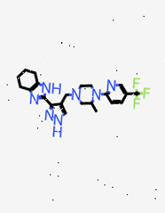 CC1CN(Cc2c[nH]nc2-c2nc3c([nH]2)CCCC3)CCN1c1ccc(C(F)(F)F)cn1